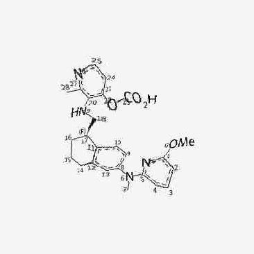 COc1cccc(N(C)c2ccc3c(c2)CCC[C@H]3CNc2c(OC(=O)O)ccnc2C)n1